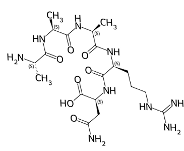 C[C@H](N)C(=O)N[C@@H](C)C(=O)N[C@@H](C)C(=O)N[C@@H](CCCNC(=N)N)C(=O)N[C@@H](CC(N)=O)C(=O)O